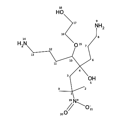 CC(C)(CC(O)(CCCN)C(CCCN)OCCO)[N+](=O)[O-]